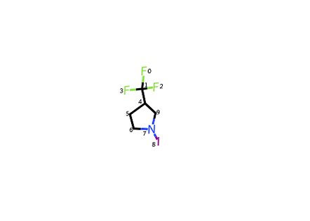 FC(F)(F)C1CCN(I)C1